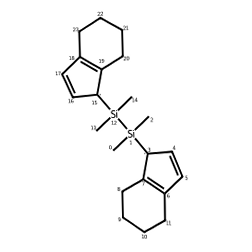 C[Si](C)([C]1C=CC2=C1CCCC2)[Si](C)(C)[C]1C=CC2=C1CCCC2